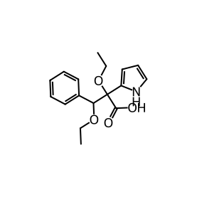 CCOC(c1ccccc1)C(OCC)(C(=O)O)c1ccc[nH]1